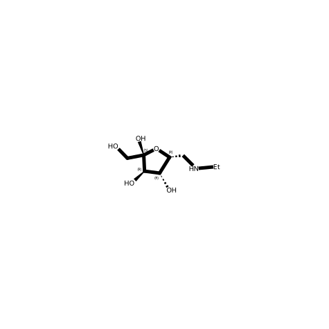 CCNC[C@H]1O[C@@](O)(CO)[C@H](O)[C@H]1O